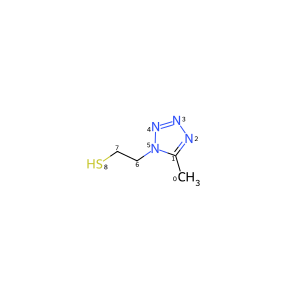 Cc1nnnn1CCS